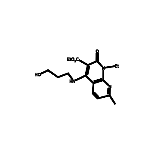 CCOC(=O)c1c(NCCCO)c2ccc(C)nc2n(CC)c1=O